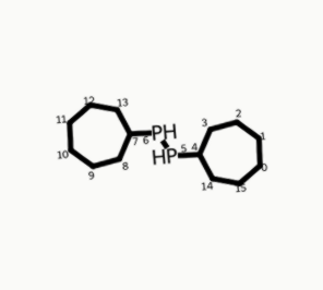 C1CCCC(PPC2CCCCCC2)CC1